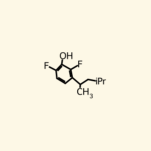 CC(C)CC(C)c1ccc(F)c(O)c1F